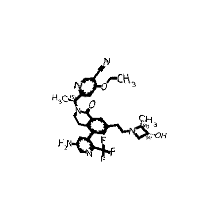 CCOc1cc([C@H](C)N2CCc3c(cc(CCN4C[C@@H](O)[C@H]4C)cc3-c3cc(N)cnc3C(F)(F)F)C2=O)ncc1C#N